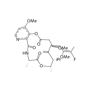 C=C(/C=C\C(OC)=C(/C)F)[C@H](C(C)C)[C@H](C)OC(=O)[C@H](C)NC(=O)c1nccc(OC)c1OC(=O)CCOC